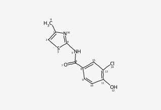 Cc1csc(NC(=O)c2ccc(O)c(Cl)c2)n1